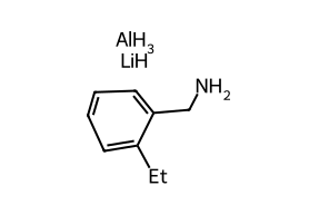 CCc1ccccc1CN.[AlH3].[LiH]